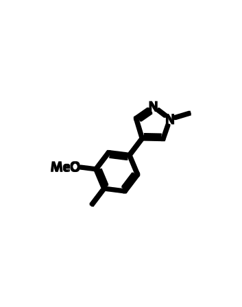 COc1cc(-c2cnn(C)c2)ccc1C